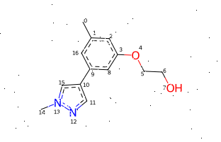 Cc1cc(OCCO)cc(-c2cnn(C)c2)c1